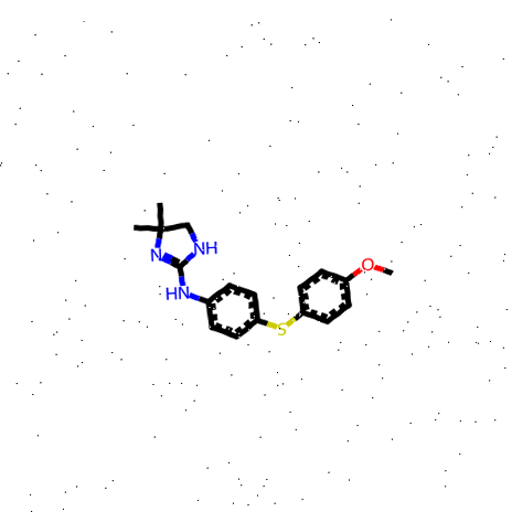 COc1ccc(Sc2ccc(NC3=NC(C)(C)CN3)cc2)cc1